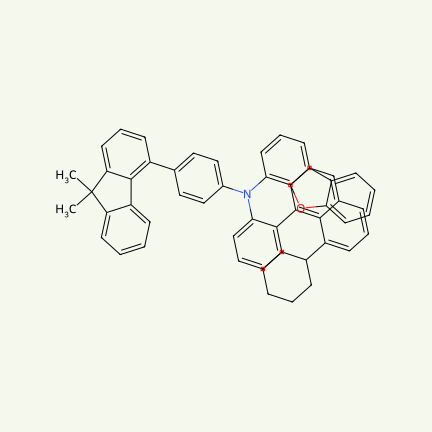 CC1(C)c2ccccc2-c2c(-c3ccc(N(c4ccccc4C4=c5c(C6CCCCC6)cccc5=CCC4)c4cccc5c4oc4ccccc45)cc3)cccc21